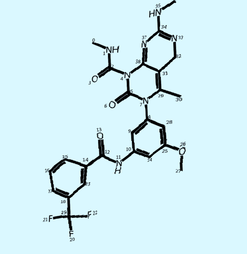 CNC(=O)N1C(=O)N(c2cc(NC(=O)c3cccc(C(F)(F)F)c3)cc(OC)c2)C(C)=C2CN=C(NC)N=C21